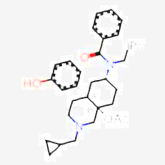 CC(=O)O[C@]12CC[C@H](N(CC(C)C)C(=O)c3ccccc3)C[C@]1(c1cccc(O)c1)CCN(CC1CC1)C2